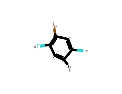 [Li][c]1cc(F)c(Br)cc1F